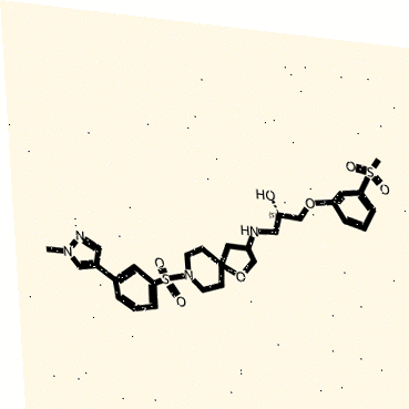 Cn1cc(-c2cccc(S(=O)(=O)N3CCC4(CC3)CC(NC[C@H](O)COc3cccc(S(C)(=O)=O)c3)CO4)c2)cn1